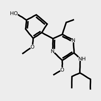 CCc1nc(NC(CC)CC)c(OC)nc1-c1ccc(O)cc1OC